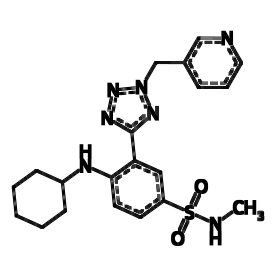 CNS(=O)(=O)c1ccc(NC2CCCCC2)c(-c2nnn(Cc3cccnc3)n2)c1